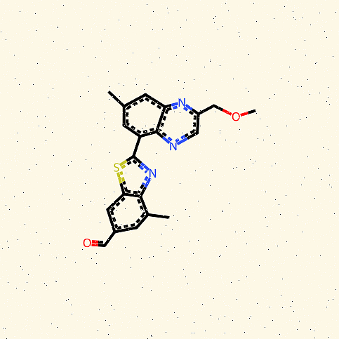 COCc1cnc2c(-c3nc4c(C)cc(C=O)cc4s3)cc(C)cc2n1